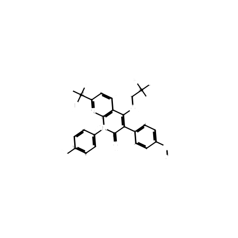 COc1ccc(-c2c(OCC(F)(F)F)c3ccc(C(F)(F)F)nc3n(-c3ccc(Br)cc3)c2=O)cc1